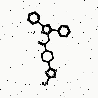 Nc1nnc(C2CCN(C(=O)Cn3nc(-c4ccccc4)cc3-c3ccccc3)CC2)o1